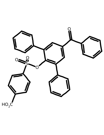 O=C(O)c1ccc(S(=O)(=O)Oc2c(-c3ccccc3)cc(C(=O)c3ccccc3)cc2-c2ccccc2)cc1